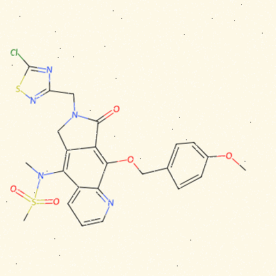 COc1ccc(COc2c3c(c(N(C)S(C)(=O)=O)c4cccnc24)CN(Cc2nsc(Cl)n2)C3=O)cc1